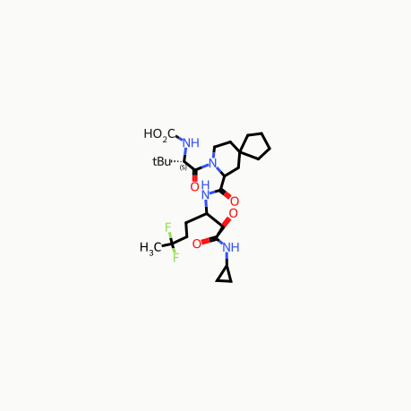 CC(F)(F)CCC(NC(=O)C1CC2(CCCC2)CCN1C(=O)[C@@H](NC(=O)O)C(C)(C)C)C(=O)C(=O)NC1CC1